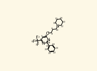 FC(F)(F)c1cc(OCCCN2CCCCC2)nc(-c2ccccc2)n1